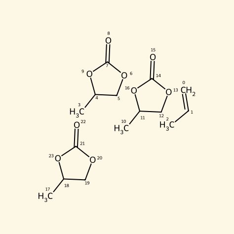 C=CC.CC1COC(=O)O1.CC1COC(=O)O1.CC1COC(=O)O1